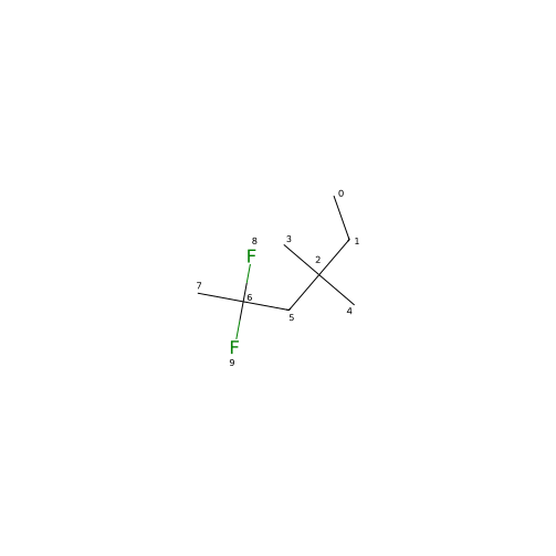 CCC(C)(C)CC(C)(F)F